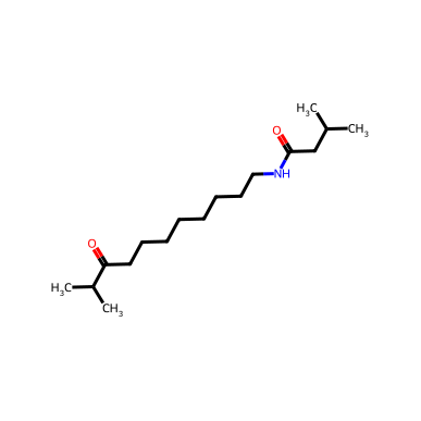 CC(C)CC(=O)NCCCCCCCCC(=O)C(C)C